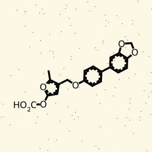 Cc1oc(OC(=O)O)cc1COc1ccc(-c2ccc3c(c2)OCO3)cc1